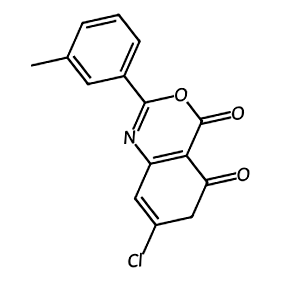 Cc1cccc(-c2nc3c(c(=O)o2)C(=O)CC(Cl)=C3)c1